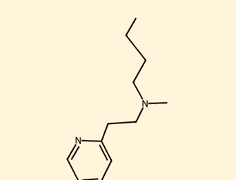 CCCCN(C)CCc1ccccn1